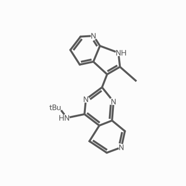 Cc1[nH]c2ncccc2c1-c1nc(NC(C)(C)C)c2ccncc2n1